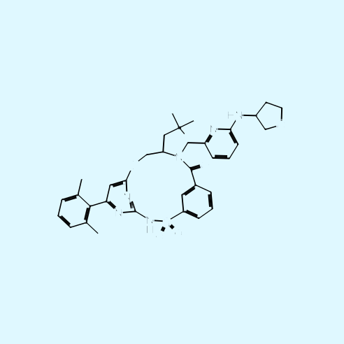 Cc1cccc(C)c1-c1cc2nc(n1)NS(=O)(=O)c1cccc(c1)C(=O)N(Cc1cccc(NC3CCOC3)n1)C(CC(C)(C)C)CO2